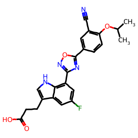 CC(C)Oc1ccc(-c2nc(-c3cc(F)cc4c(CCC(=O)O)c[nH]c34)no2)cc1C#N